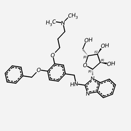 CN(C)CCCOc1cc(CNc2nc3ccccc3n2[C@@H]2O[C@H](CO)[C@@H](O)[C@H]2O)ccc1OCc1ccccc1